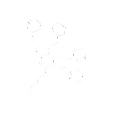 OCCCC(O)C1NC(COCc2ccccc2)C(OCc2ccccc2)C(OCc2ccccc2)C1OCc1ccccc1